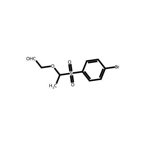 CC(OCC=O)S(=O)(=O)c1ccc(Br)cc1